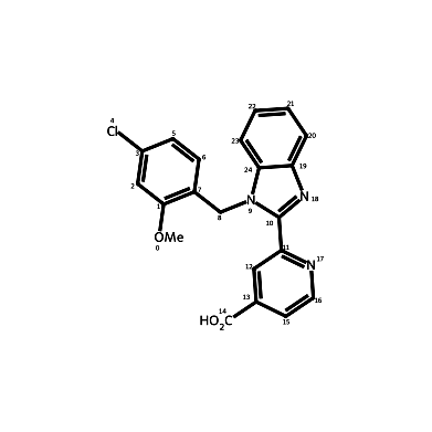 COc1cc(Cl)ccc1Cn1c(-c2cc(C(=O)O)ccn2)nc2ccccc21